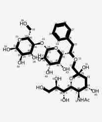 CC(=O)N[C@H]1[C@H]([C@H](O)[C@H](O)CO)O[C@](O)(COC(Cc2ccccc2)[C@H]2O[C@@H](O[C@H]3[C@H](O)[C@@H](O)[C@@H](O)O[C@@H]3CO)[C@H](O)[C@@H](O)[C@H]2O)C[C@@H]1O